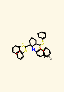 Cc1ccc(N=C2C(C(Sc3ccccc3)Sc3ccccc3)CCCC2C(Sc2ccccc2)Sc2ccccc2)cc1